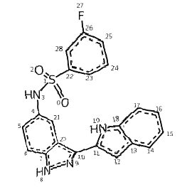 O=S(=O)(Nc1ccc2[nH]nc(-c3cc4ccccc4[nH]3)c2c1)c1cccc(F)c1